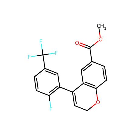 COC(=O)c1ccc2c(c1)C(c1cc(C(F)(F)F)ccc1F)=CCO2